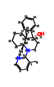 Cc1cccnc1N1CC[C@](O)(c2ccccc2)[C@H]2CCCC[C@H]21